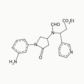 CCOC(=O)CC(c1cccnc1)N(C=O)C1CC(=O)N(c2cccc(N)c2)C1